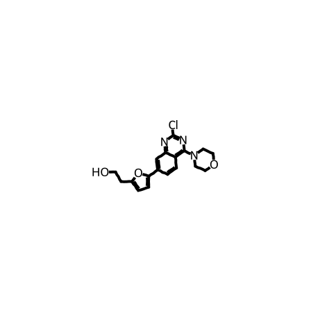 OCCc1ccc(-c2ccc3c(N4CCOCC4)nc(Cl)nc3c2)o1